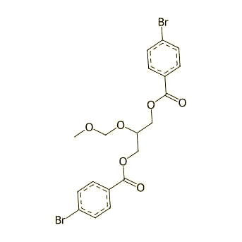 COCOC(COC(=O)c1ccc(Br)cc1)COC(=O)c1ccc(Br)cc1